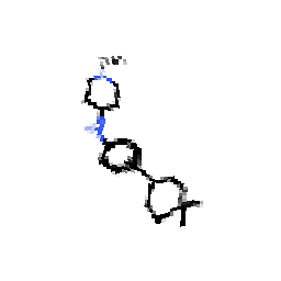 CC1(C)CCC(c2ccc(NC3CCN(C=O)CC3)cc2)CC1